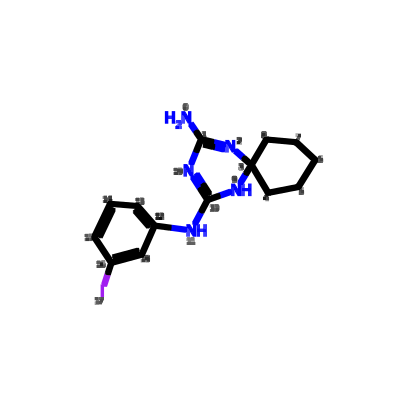 NC1=NC2(CCCCC2)NC(Nc2cccc(I)c2)=N1